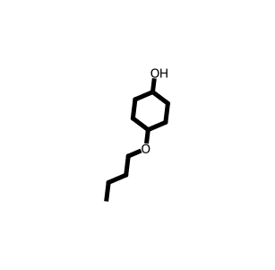 CCCCOC1CCC(O)CC1